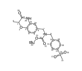 CC1Oc2ccc(CN(Cc3ccc(S(C)(=O)=O)cc3)C(=O)OC(C)(C)C)cc2NC1=O